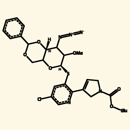 COC1C(N=[N+]=[N-])[C@H]2OC(c3ccccc3)OCC2O[C@@H]1Sc1cc(Cl)cnc1C1=CCN(C(=O)OC(C)(C)C)C1